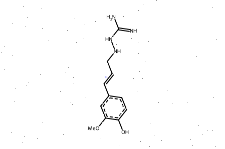 COc1cc(/C=C/CNNC(=N)N)ccc1O